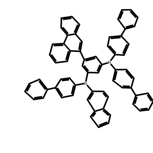 c1ccc(-c2ccc(N(c3ccc(-c4ccccc4)cc3)c3cc(-c4cc5ccccc5c5ccccc45)cc(N(c4ccc(-c5ccccc5)cc4)c4ccc5ccccc5c4)c3)cc2)cc1